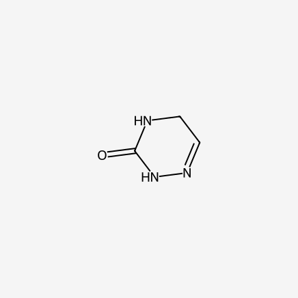 O=C1NCC=NN1